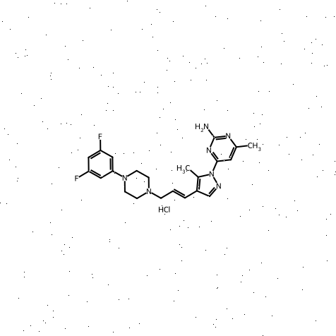 Cc1cc(-n2ncc(C=CCN3CCN(c4cc(F)cc(F)c4)CC3)c2C)nc(N)n1.Cl